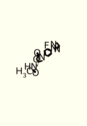 CC(=O)NC[C@H]1CN(c2ccc(-n3nccn3)c(F)c2)C(=O)O1